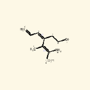 C=C/C=C(CCO)\C(C)=C(/N)C(=O)O